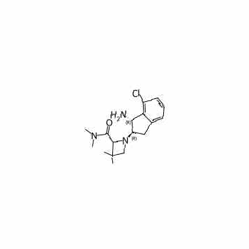 CN(C)C(=O)C1N([C@@H]2Cc3cccc(Cl)c3[C@H]2N)CC1(C)C